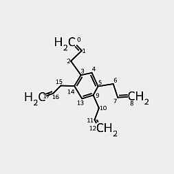 C=CCc1cc(CC=C)c(CC=C)cc1CC=C